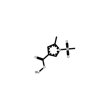 Cc1cc(C(=O)OC(C)(C)C)cn1S(C)(=O)=O